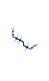 O=C=NC(F)(F)CCC(F)(F)C(F)(F)N=C=O